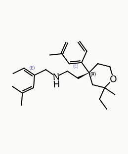 C=C/C(=C\C(=C)C)[C@]1(CCNC/C(C=C(C)C)=C/C)CCOC(C)(CC)C1